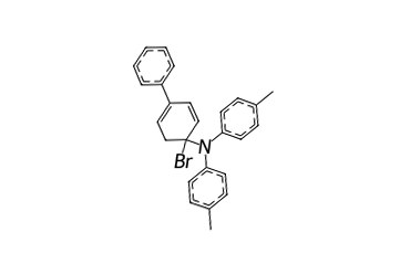 Cc1ccc(N(c2ccc(C)cc2)C2(Br)C=CC(c3ccccc3)=CC2)cc1